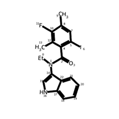 CCN(C(=O)c1c(I)cc(C)c(F)c1C)c1c[nH]c2ccccc12